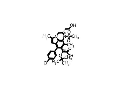 Cc1c([C@H](OC(C)(C)C)C(=O)O)c(-c2ccc(Cl)cc2)c2cc(C)n3c2c1N(S(C)(=O)=O)[C@@H](CCO)C3